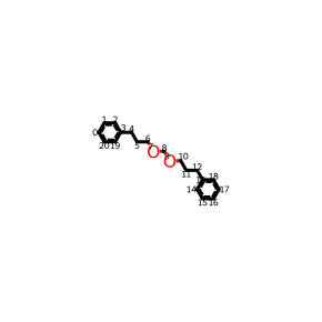 c1ccc(CCCOCOCCCc2ccccc2)cc1